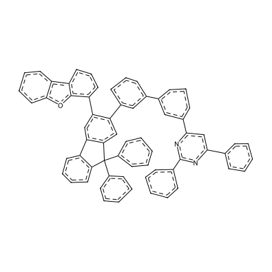 c1ccc(-c2cc(-c3cccc(-c4cccc(-c5cc6c(cc5-c5cccc7c5oc5ccccc57)-c5ccccc5C6(c5ccccc5)c5ccccc5)c4)c3)nc(-c3ccccc3)n2)cc1